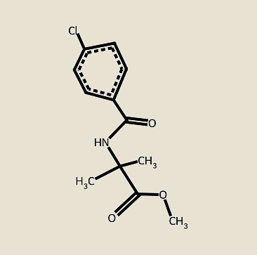 COC(=O)C(C)(C)NC(=O)c1ccc(Cl)cc1